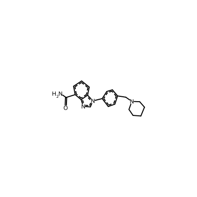 NC(=O)c1cccc2c1ncn2-c1ccc(CN2CCCCC2)cc1